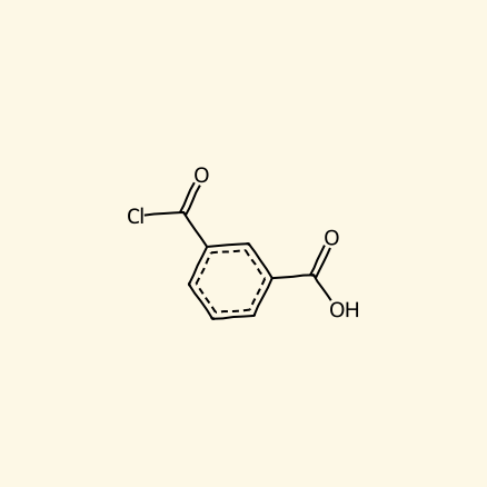 O=C(O)c1cccc(C(=O)Cl)c1